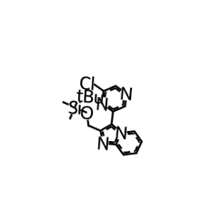 CC(C)(C)[Si](C)(C)OCc1nc2ccccn2c1-c1cncc(Cl)n1